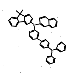 CC1(C)c2ccccc2-c2cc(N(c3cccc(-c4ccc(N(c5ccccc5)c5ccccc5)cc4)c3)c3ccc4ccccc4c3)ccc21